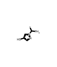 PC(I)n1cc(S)cn1